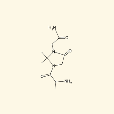 CC(N)C(=O)N1CC(=O)N(CC(N)=O)C1(C)C